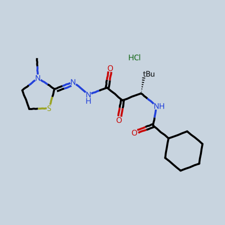 CN1CCS/C1=N\NC(=O)C(=O)[C@@H](NC(=O)C1CCCCC1)C(C)(C)C.Cl